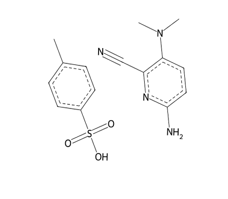 CN(C)c1ccc(N)nc1C#N.Cc1ccc(S(=O)(=O)O)cc1